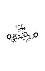 CN(Cc1ccccc1)CC1CCCN(CCCC(C)(C)S(=O)(=O)c2ccccc2)C1.O=C(O)C(F)(F)F